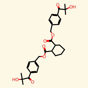 CC(C)(O)C(=O)c1ccc(COC(=O)C2CCCCC2C(=O)OCc2ccc(C(=O)C(C)(C)O)cc2)cc1